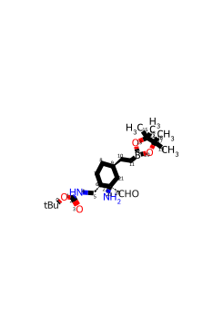 CC(C)(C)OC(=O)NC[C@@H]1CC[C@@H](CCB2OC(C)(C)C(C)(C)O2)C[C@]1(N)C=O